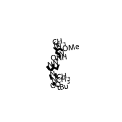 COc1nc(NC(=O)N2CCc3c(N4CCN(C(=O)OC(C)(C)C)C(C)(C)C4)ccnc32)cc2cn(C)nc12